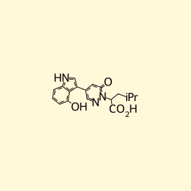 CC(C)CC(C(=O)O)n1ncc(-c2c[nH]c3cccc(O)c23)cc1=O